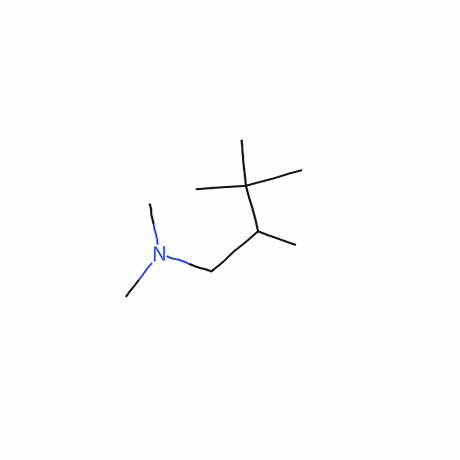 CC(CN(C)C)C(C)(C)C